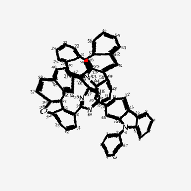 c1ccc(-n2c3ccccc3c3ccc(-c4nc(-c5ccc6ccccc6c5)nc(-c5cccc6oc7ccc8ccc(-n9c%10ccccc%10c%10cc%11ccccc%11cc%109)cc8c7c56)n4)cc32)cc1